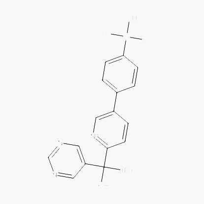 CC(C)(C)C(O)(c1cncnc1)c1ccc(-c2ccc([Si](C)(C)C)cc2)cn1